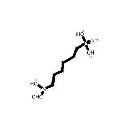 O=CN(O)CCCCCCP(=O)(O)O